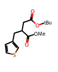 COC(=O)C(CC(=O)OC(C)(C)C)Cc1ccsc1